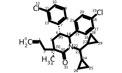 C=CC[C@@]1(C)C[C@H](c2cccc(Cl)c2)C(c2ccc(Cl)cc2)N(C(C2CC2)C2CC2)C1=O